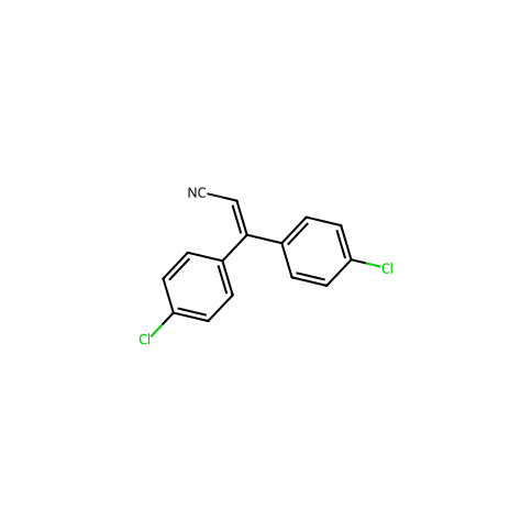 N#CC=C(c1ccc(Cl)cc1)c1ccc(Cl)cc1